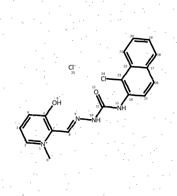 C[n+]1cccc(O)c1C=NNC(=O)Nc1ccc2ccccc2c1Cl.[Cl-]